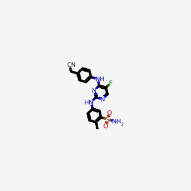 Cc1ccc(Nc2ncc(F)c(Nc3ccc(CC#N)cc3)n2)cc1S(N)(=O)=O